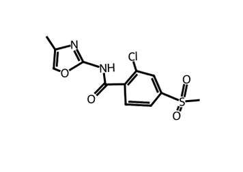 Cc1coc(NC(=O)c2ccc(S(C)(=O)=O)cc2Cl)n1